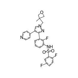 CC1(Cn2cc(-c3ccncc3)c(-c3cccc(NS(=O)(=O)c4cc(F)ccc4F)c3F)n2)COC1